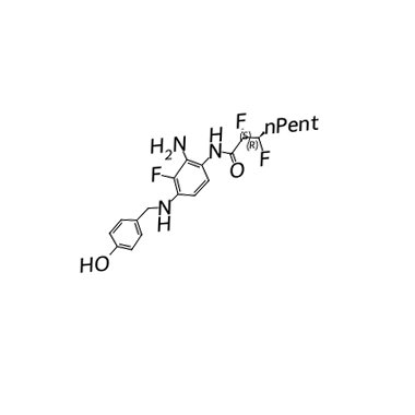 CCCCC[C@@H](F)[C@@H](F)C(=O)Nc1ccc(NCc2ccc(O)cc2)c(F)c1N